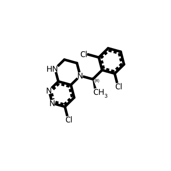 C[C@H](c1c(Cl)cccc1Cl)N1CCNc2nnc(Cl)cc21